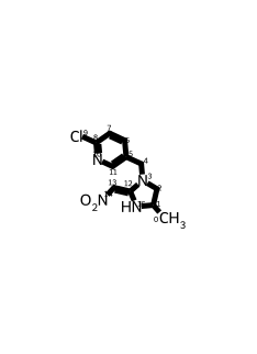 CC1CN(Cc2ccc(Cl)nc2)/C(=C/[N+](=O)[O-])N1